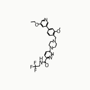 CCOc1cncc(-c2ccc(CN3CCN(c4ccc(C(=O)NCC(F)(F)F)nn4)CC3)c(OC)c2)c1